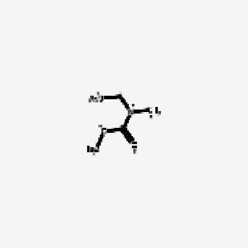 CC(=O)O[CH]N(C)C(=O)OC(C)(C)C